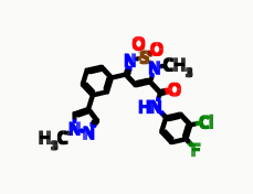 CN1C(C(=O)Nc2ccc(F)c(Cl)c2)=CC(c2cccc(-c3cnn(C)c3)c2)=NS1(=O)=O